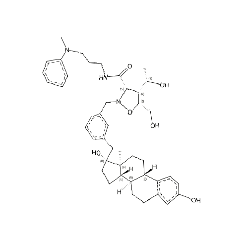 C[C@H](O)[C@@H]1[C@H](CO)ON(Cc2cccc(C[C@]3(O)CC[C@H]4[C@@H]5CCc6cc(O)ccc6[C@H]5CC[C@@]43C)c2)[C@@H]1C(=O)NCCCN(C)c1ccccc1